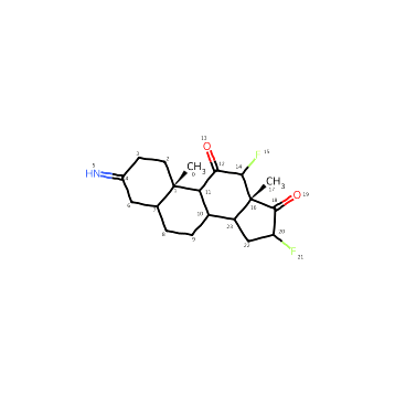 C[C@]12CCC(=N)CC1CCC1C2C(=O)C(F)[C@]2(C)C(=O)C(F)CC12